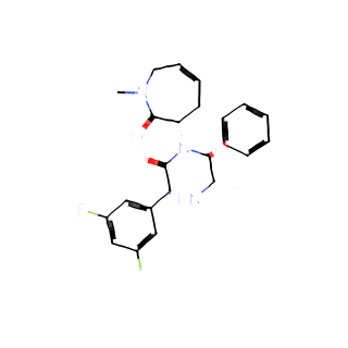 C[C@H](N)C(=O)N(C(=O)Cc1cc(F)cc(F)c1)[C@@H]1C(=O)N(C)CC=C[C@@H]1c1ccccc1